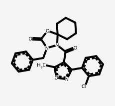 Cc1onc(-c2ccccc2Cl)c1C(=O)N1N(Cc2ccccc2)C(=O)OC12CCCCC2